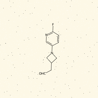 O=CCC1CN(c2ccc(F)nc2)C1